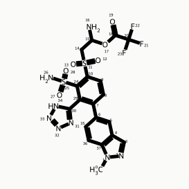 Cn1ncc2cc(-c3ccc(S(=O)(=O)CC(N)OC(=O)C(F)(F)F)c(S(N)(=O)=O)c3-c3nnn[nH]3)ccc21